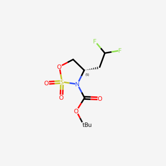 CC(C)(C)OC(=O)N1[C@@H](CC(F)F)COS1(=O)=O